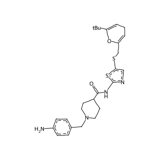 CC(C)(C)C1=CCC=C(CSc2cnc(NC(=O)C3CCN(Cc4ccc(N)cc4)CC3)s2)O1